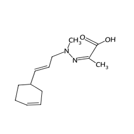 CC(=NN(C)CC=CC1CC=CCC1)C(=O)O